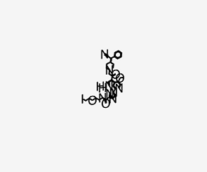 COc1cnc(-n2cnc(C(=O)NCCOCCI)n2)c2[nH]cc(C(=O)CN3CCC(=C(C#N)c4ccccc4)CC3)c12